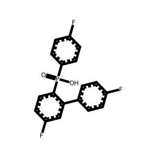 O=P(O)(c1ccc(F)cc1)c1ccc(F)cc1-c1ccc(F)cc1